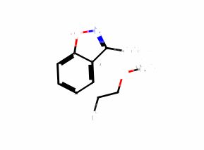 CC(C)CCON=O.O=C(O)c1noc2ccccc12